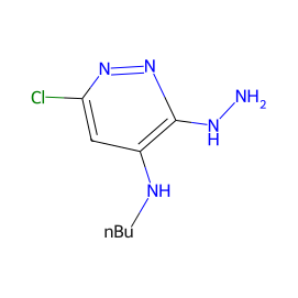 CCCCNc1cc(Cl)nnc1NN